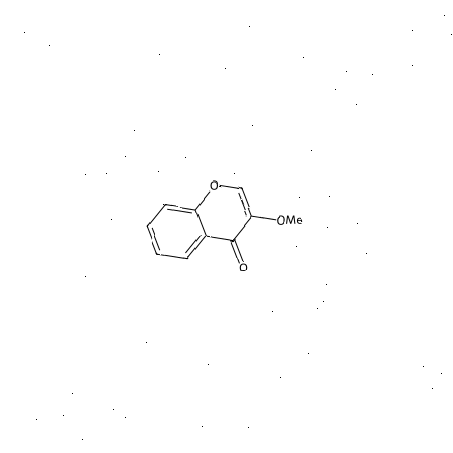 COc1coc2ccccc2c1=O